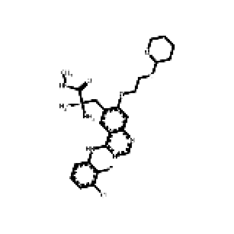 CNC(=O)[C@@](C)(N)Cc1cc2c(Nc3cccc(Cl)c3F)ncnc2cc1OCCOC1CCCCO1